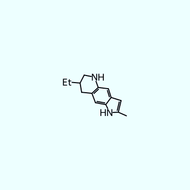 CCC1CNc2cc3cc(C)[nH]c3cc2C1